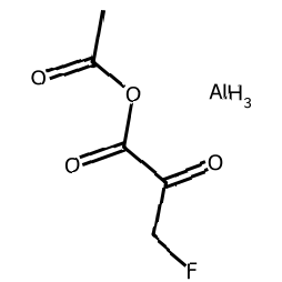 CC(=O)OC(=O)C(=O)CF.[AlH3]